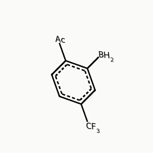 Bc1cc(C(F)(F)F)ccc1C(C)=O